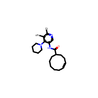 CCCc1c(CC)ncc(NC(=O)C2CC/C=C\CCCCC2)c1N1CCCCC1